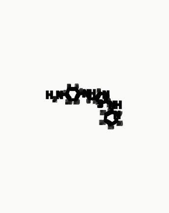 Nc1ccc(NCc2cnc(Nc3ccccn3)s2)cc1